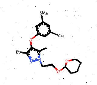 CCc1nn(CCOC2CCCCO2)c(C)c1Oc1cc(C#N)cc(SC)c1